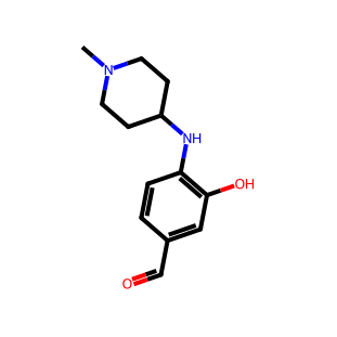 CN1CCC(Nc2ccc(C=O)cc2O)CC1